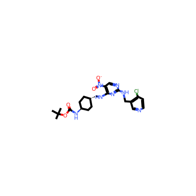 CC(C)(C)OC(=O)N[C@H]1CC[C@H](CNc2nc(NCc3cnccc3Cl)ncc2[N+](=O)[O-])CC1